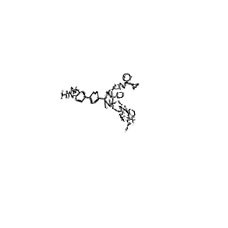 O=C(C1CC1)N1CC(CN2C(=O)C3(CCN(C(=O)C(F)(F)F)CC3)N=C2c2ccc(-c3ccc4[nH]ncc4c3)cc2)C1